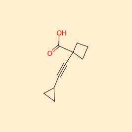 O=C(O)C1(C#CC2CC2)CCC1